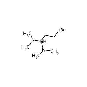 CN(C)[SiH](CCC(C)(C)C)N(C)C